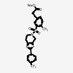 COC(=O)Cc1ccc(C)c(S(=O)(=O)N2CCc3nc(-c4ccc(C(F)(F)F)cc4)sc3C2)c1